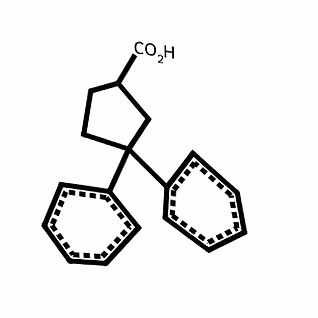 O=C(O)C1CCC(c2ccccc2)(c2ccccc2)C1